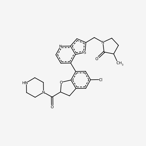 CC1CCN(Cc2cc3nccc(-c4cc(Cl)cc5c4OC(C(=O)N4CCNCC4)C5)c3s2)C1=O